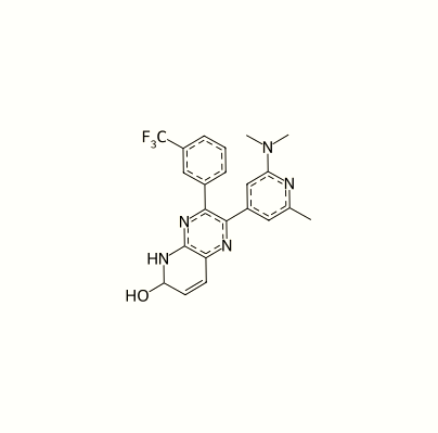 Cc1cc(-c2nc3c(nc2-c2cccc(C(F)(F)F)c2)NC(O)C=C3)cc(N(C)C)n1